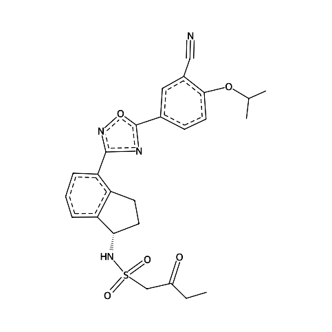 CCC(=O)CS(=O)(=O)N[C@H]1CCc2c(-c3noc(-c4ccc(OC(C)C)c(C#N)c4)n3)cccc21